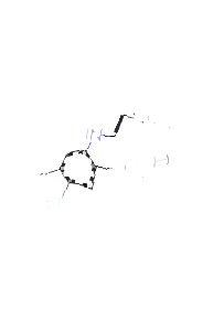 Cc1cc(N/C=C/[N+](=O)[O-])c(C(=O)O)cc1Br